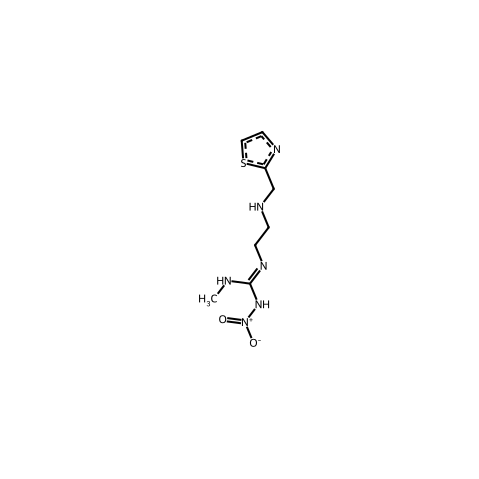 CN/C(=N\CCNCc1nccs1)N[N+](=O)[O-]